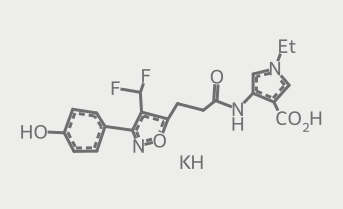 CCn1cc(NC(=O)CCc2onc(-c3ccc(O)cc3)c2C(F)F)c(C(=O)O)c1.[KH]